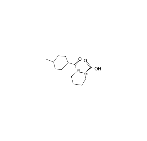 CC1CCC(C(=O)[C@H]2CCCC[C@@H]2C(=O)O)CC1